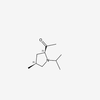 CC(=O)[C@@H]1C[C@H](C)CN1C(C)C